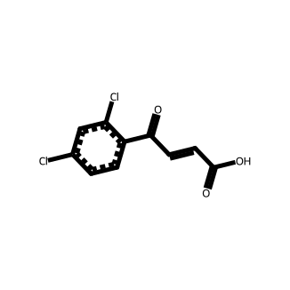 O=C(O)/C=C/C(=O)c1ccc(Cl)cc1Cl